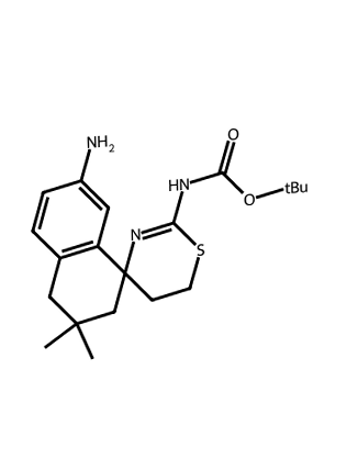 CC1(C)Cc2ccc(N)cc2C2(CCSC(NC(=O)OC(C)(C)C)=N2)C1